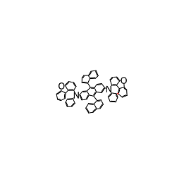 c1ccc(N(c2ccc3c(-c4cccc5ccccc45)c4cc(N(c5ccccc5)c5cccc6oc7ccccc7c56)ccc4c(-c4cccc5ccccc45)c3c2)c2cccc3oc4ccccc4c23)cc1